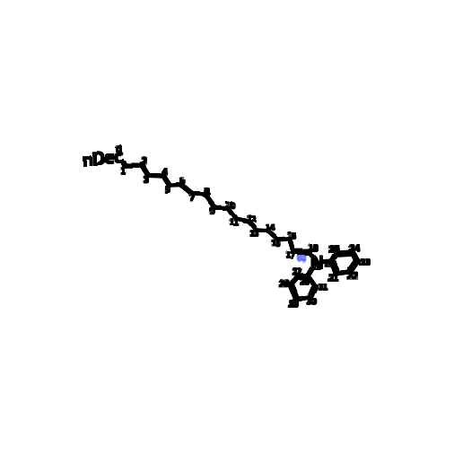 CCCCCCCCCCCCCCCCCCCCCCCCCC/C=C/N(c1ccccc1)c1ccccc1